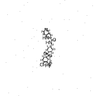 O=C(NCc1ccc(S(=O)(=O)c2ccc(Cl)c(C(F)(F)F)c2)cc1)C1Cc2cnccc2N1